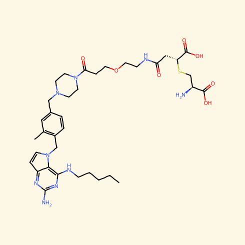 CCCCCNc1nc(N)nc2ccn(Cc3ccc(CN4CCN(C(=O)CCOCCNC(=O)C[C@@H](SC[C@H](N)C(=O)O)C(=O)O)CC4)cc3C)c12